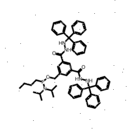 CCCCP(OCc1cc(C(=O)NNC(c2ccccc2)(c2ccccc2)c2ccccc2)cc(C(=O)NNC(c2ccccc2)(c2ccccc2)c2ccccc2)c1)N(C(C)C)C(C)C